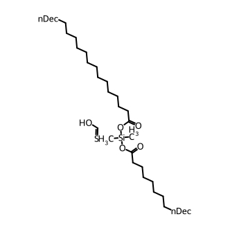 CCCCCCCCCCCCCCCCCCCCCCCC(=O)O[Si](C)(C)OC(=O)CCCCCCCCCCCCCCCCC.OC=S